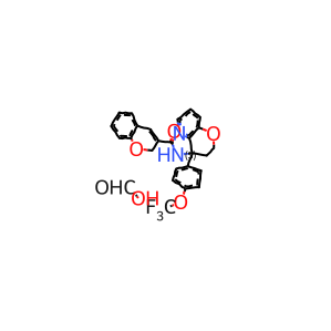 O=C(N[C@]1(c2ccc(OC(F)(F)F)cc2)CCOc2cccnc21)C1=Cc2ccccc2OC1.O=CO